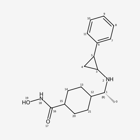 C[C@@H](NC1CC1c1ccccc1)C1CCC(C(=O)NO)CC1